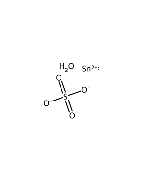 O.O=S(=O)([O-])[O-].[Sn+2]